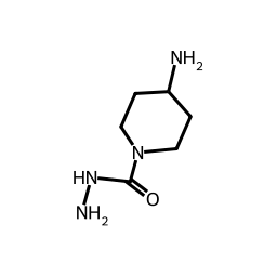 NNC(=O)N1CCC(N)CC1